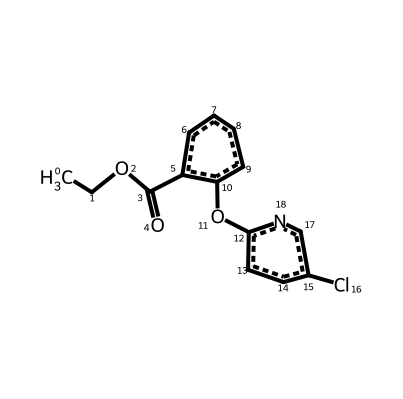 CCOC(=O)c1ccccc1Oc1ccc(Cl)cn1